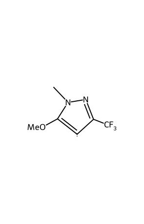 COc1[c]c(C(F)(F)F)nn1C